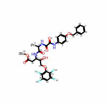 CC(C)C(NC(=O)C(=O)Nc1ccc(OCc2ccccc2)cc1)C(=O)NC(CC(=O)OC(C)(C)C)C(O)COc1c(F)c(F)cc(F)c1F